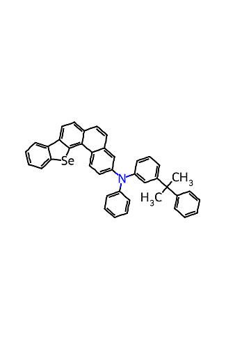 CC(C)(c1ccccc1)c1cccc(N(c2ccccc2)c2ccc3c(ccc4ccc5c6ccccc6[se]c5c43)c2)c1